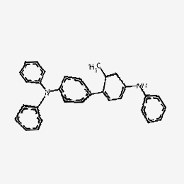 CC1CC(Nc2ccccc2)=CC=C1c1ccc(N(c2ccccc2)c2ccccc2)cc1